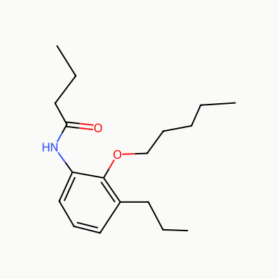 CCCCCOc1c(CCC)cccc1NC(=O)CCC